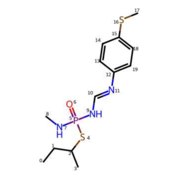 CCC(C)SP(=O)(NC)NC=Nc1ccc(SC)cc1